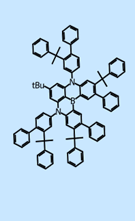 CC(C)(C)c1cc2c3c(c1)N(c1ccc(-c4ccccc4)c(C(C)(C)c4ccccc4)c1)c1cc(C(C)(C)c4ccccc4)c(-c4ccccc4)cc1B3c1cc(-c3ccccc3)c(C(C)(C)c3ccccc3)cc1N2c1ccc(-c2ccccc2)c(C(C)(C)c2ccccc2)c1